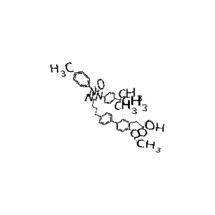 CCOc1ccc(-c2ccc(CCCc3nn(-c4ccc(C)cc4)c(=O)n3-c3ccc(C(C)(C)C)cc3)cc2)cc1CC(=O)O